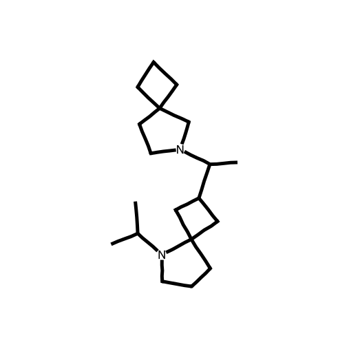 CC(C1CC2(CCCN2C(C)C)C1)N1CCC2(CCC2)C1